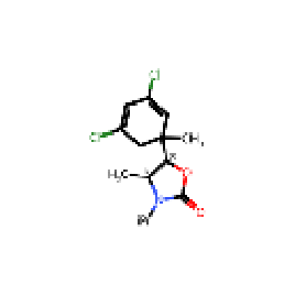 CC(C)N1C(=O)O[C@H](C2(C)C=C(Cl)C=C(Cl)C2)[C@@H]1C